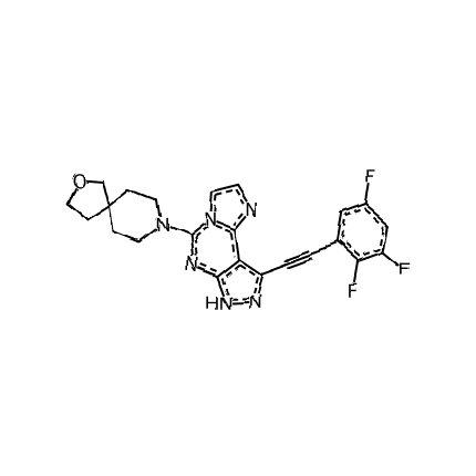 Fc1cc(F)c(F)c(C#Cc2n[nH]c3nc(N4CCC5(CCOC5)CC4)n4ccnc4c23)c1